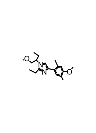 CCc1nc(-c2cc(C)c(OC)cc2C)cn1C(CC)COC